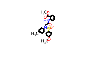 COC(=O)c1ccccc1NC(=O)CN(c1ccc(C)cc1)[S+]([O-])c1ccc(OC)cc1